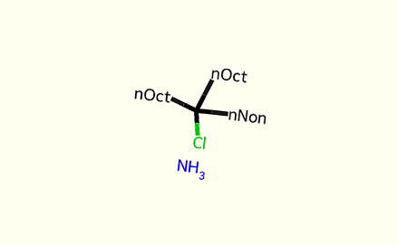 CCCCCCCCCC(Cl)(CCCCCCCC)CCCCCCCC.N